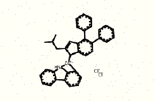 CC(C)CC1=Cc2c(ccc(-c3ccccc3)c2-c2ccccc2)[CH]1[Zr+2]1[c]2cccc3c2[SiH]1c1ccccc1-3.[Cl-].[Cl-]